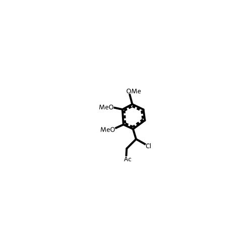 COc1ccc(C(Cl)CC(C)=O)c(OC)c1OC